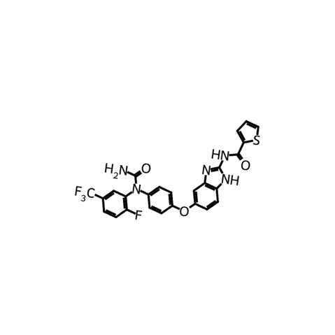 NC(=O)N(c1ccc(Oc2ccc3[nH]c(NC(=O)c4cccs4)nc3c2)cc1)c1cc(C(F)(F)F)ccc1F